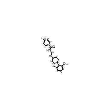 COc1cccc2c1C1CCN(CCNC(=O)c3ccc(F)cc3)CC1C2